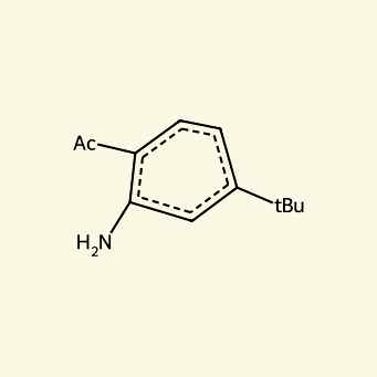 CC(=O)c1ccc(C(C)(C)C)cc1N